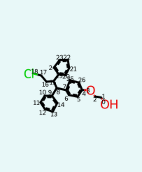 OCCOc1ccc(C(c2ccccc2)C(CCCl)c2ccccc2)cc1